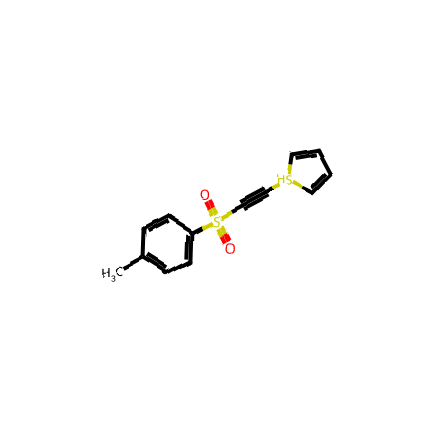 Cc1ccc(S(=O)(=O)C#C[SH]2C=CC=C2)cc1